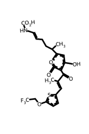 C/C(=C\c1ccc(OCC(F)(F)F)s1)C(=O)c1c(O)cc(C(C)CC/C=C/NC(=O)O)oc1=O